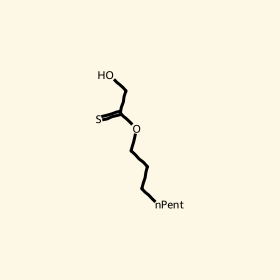 CCCCCCCCOC(=S)CO